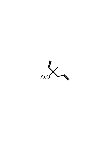 C=CCC(C)(C=C)OC(C)=O